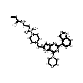 C=CC(=O)NCCS(=O)(=O)N1CCN(Cc2cc3nc(-c4cccc5[nH]ncc45)nc(N4CCOCC4)c3s2)CC1